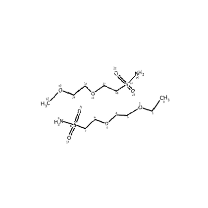 CCOCCOCCS(N)(=O)=O.COCCOCCS(N)(=O)=O